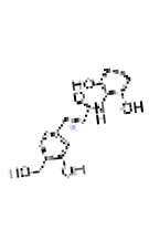 O=C(/C=C/c1ccc(CO)c(O)c1)Nc1c(O)cccc1O